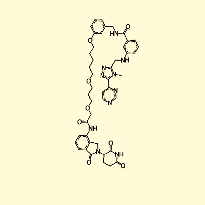 Cn1c(CNc2cccc(C(=O)NCc3cccc(OCCCCCOCCCOCC(=O)Nc4cccc5c4CN(C4CCC(=O)NC4=O)C5=O)c3)c2)nnc1-c1ccncn1